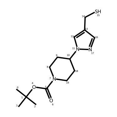 CC(C)(C)OC(=O)N1CCC(n2cc(CS)cn2)CC1